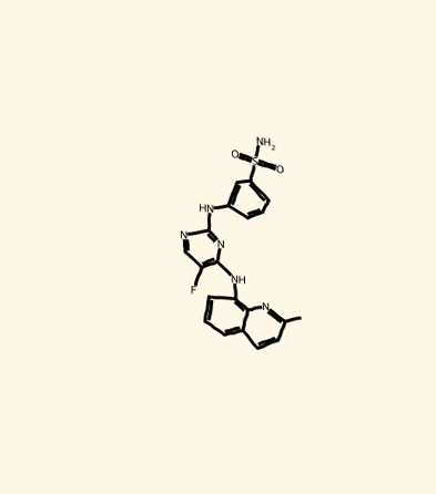 Cc1ccc2cccc(Nc3nc(Nc4cccc(S(N)(=O)=O)c4)ncc3F)c2n1